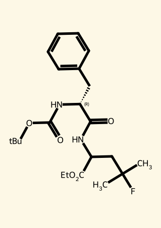 CCOC(=O)C(CC(C)(C)F)NC(=O)[C@@H](Cc1ccccc1)NC(=O)OC(C)(C)C